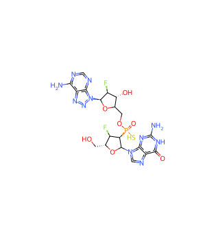 Nc1nc2c(ncn2C2O[C@H](CO)[C@@H](F)[C@H]2P(=O)(S)OCC2O[C@@H](n3nnc4c(N)ncnc43)[C@@H](F)[C@@H]2O)c(=O)[nH]1